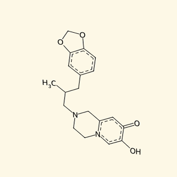 CC(Cc1ccc2c(c1)OCO2)CN1CCn2cc(O)c(=O)cc2C1